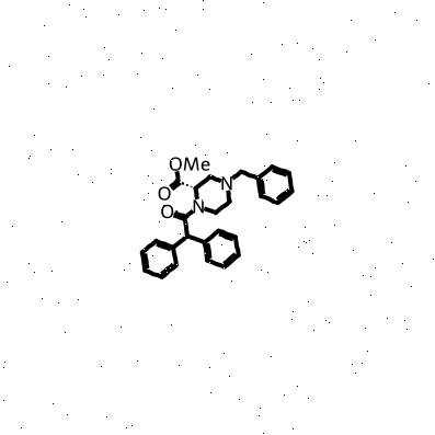 COC(=O)[C@@H]1CN(Cc2ccccc2)CCN1C(=O)C(c1ccccc1)c1ccccc1